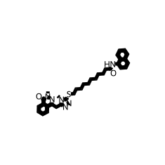 Cn1c(Cc2nn(C)c(=O)c3ccccc23)nnc1SCCCCCCCCCCC(=O)Nc1cccc2ccccc12